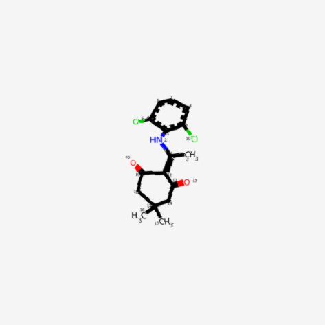 CC(Nc1c(Cl)cccc1Cl)=C1C(=O)CC(C)(C)CC1=O